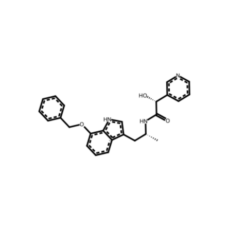 C[C@H](Cc1c[nH]c2c(OCc3ccccc3)cccc12)NC(=O)[C@H](O)c1cccnc1